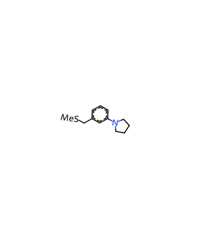 CSCc1cccc(N2CCCC2)c1